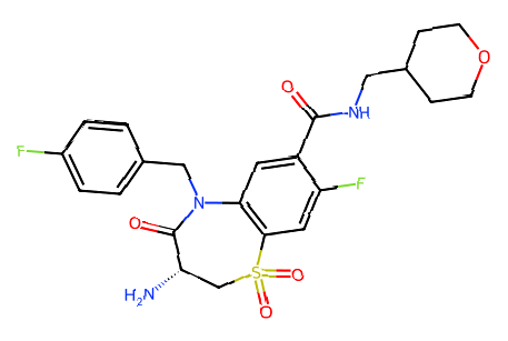 N[C@H]1CS(=O)(=O)c2cc(F)c(C(=O)NCC3CCOCC3)cc2N(Cc2ccc(F)cc2)C1=O